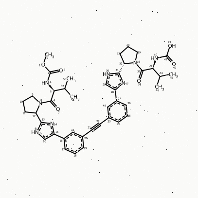 COC(=O)N[C@H](C(=O)N1CCCC1c1nc(-c2cccc(C#Cc3cccc(-c4c[nH]c([C@@H]5CCCN5C(=O)[C@@H](NC(=O)O)C(C)C)n4)c3)c2)c[nH]1)C(C)C